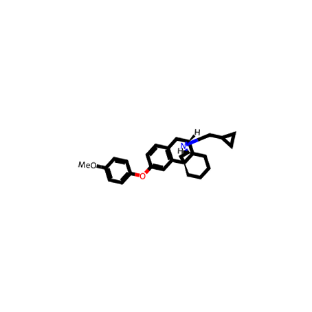 COc1ccc(Oc2ccc3c(c2)[C@@]24CCCC[C@H]2[C@@H](C3)N(CC2CC2)CC4)cc1